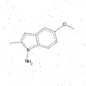 COc1ccc2c(c1)cc(C)n2N